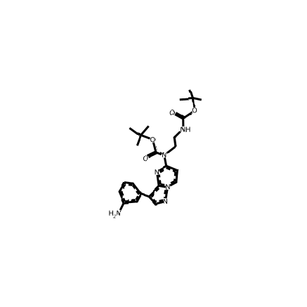 CC(C)(C)OC(=O)NCCN(C(=O)OC(C)(C)C)c1ccn2ncc(-c3cccc(N)c3)c2n1